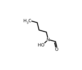 CCCCN(O)C=O